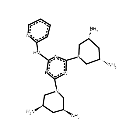 N[C@@H]1C[C@H](N)CN(c2nc(Nc3ccccn3)nc(N3C[C@H](N)C[C@H](N)C3)n2)C1